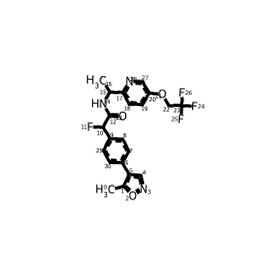 Cc1oncc1-c1ccc(C(F)C(=O)NC(C)c2ccc(OCC(F)(F)F)cn2)cc1